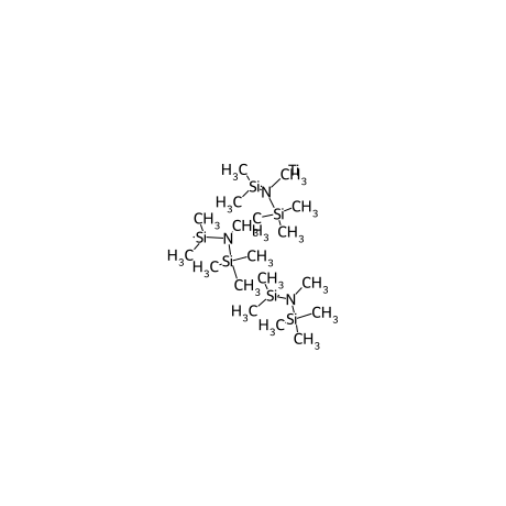 CN([Si](C)C)[Si](C)(C)C.CN([Si](C)C)[Si](C)(C)C.CN([Si](C)C)[Si](C)(C)C.[Ti]